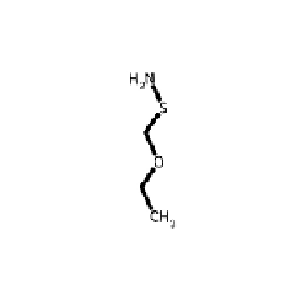 CCOCSN